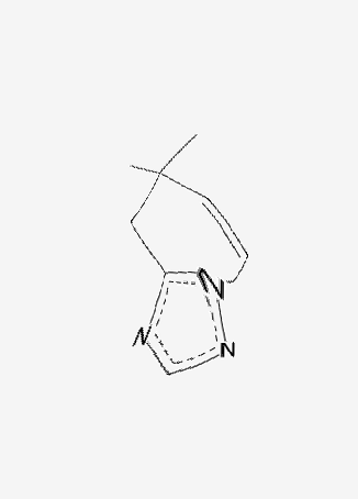 CC1(C)C=Cn2ncnc2C1